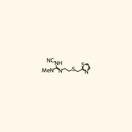 CN/C(=N/CCSCc1nccs1)NC#N